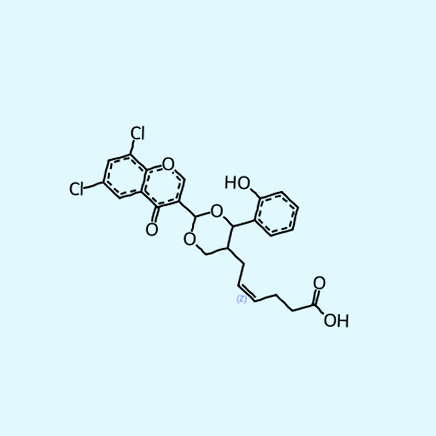 O=C(O)CC/C=C\CC1COC(c2coc3c(Cl)cc(Cl)cc3c2=O)OC1c1ccccc1O